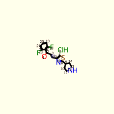 Cl.O=C(/C=C/c1csc(C2CCNCC2)n1)c1c(F)cccc1F